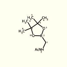 CC(=O)NCB1OC(C)(C)C(C)(C)O1